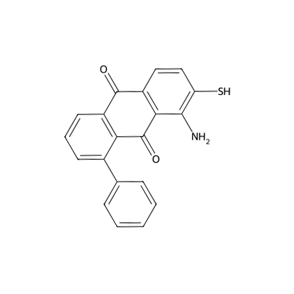 Nc1c(S)ccc2c1C(=O)c1c(cccc1-c1ccccc1)C2=O